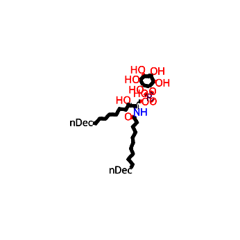 CCCCCCCCCCCCCCCCCCCC(=O)N[C@@H](COP(=O)(O)OC1C(O)C(O)C(O)[C@@H](O)C1O)[C@H](O)CCCCCCCCCCCCCCCCC